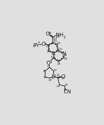 CC(C)Oc1cc2c(O[C@@H]3CCCN(C(=O)CCC#N)C3)ccnc2cc1C(N)=O